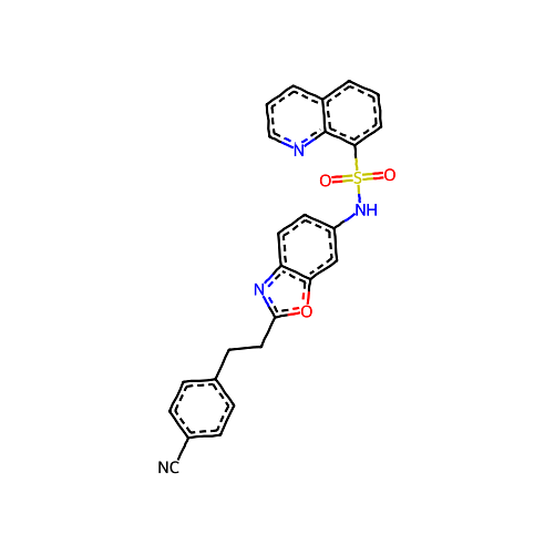 N#Cc1ccc(CCc2nc3ccc(NS(=O)(=O)c4cccc5cccnc45)cc3o2)cc1